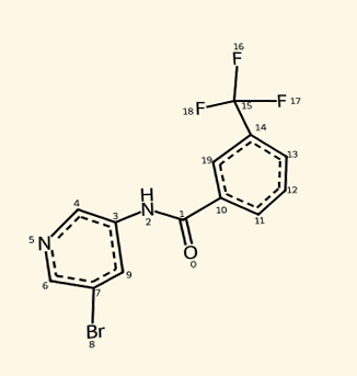 O=C(Nc1cncc(Br)c1)c1cccc(C(F)(F)F)c1